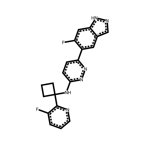 Fc1cc2[nH]ncc2cc1-c1ccc(NC2(c3ncccc3F)CCC2)nn1